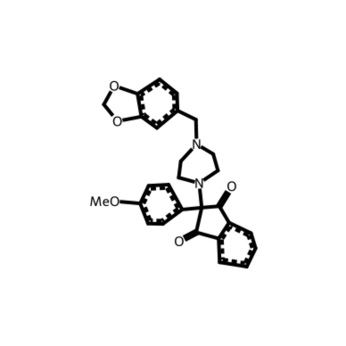 COc1ccc(C2(N3CCN(Cc4ccc5c(c4)OCO5)CC3)C(=O)c3ccccc3C2=O)cc1